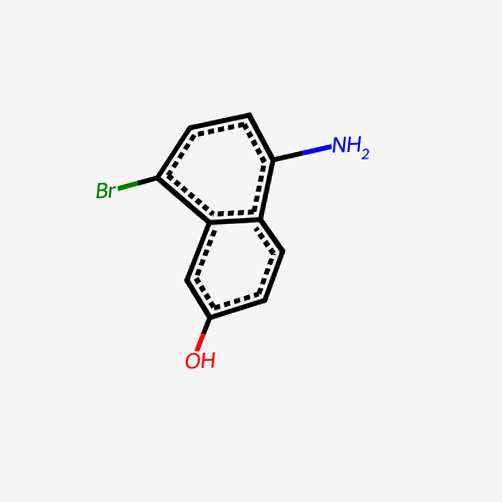 Nc1ccc(Br)c2cc(O)ccc12